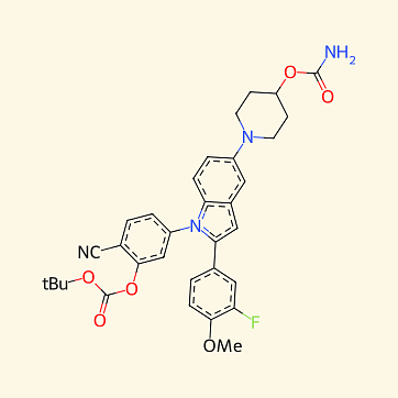 COc1ccc(-c2cc3cc(N4CCC(OC(N)=O)CC4)ccc3n2-c2ccc(C#N)c(OC(=O)OC(C)(C)C)c2)cc1F